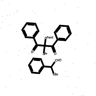 CCCCC(C=O)c1ccccc1.CCCCCC(CCC)(C(=O)c1ccccc1)C(=O)c1ccccc1